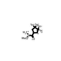 [2H]C1([2H])CC(C(=O)N(C)OC)CC1([2H])[2H]